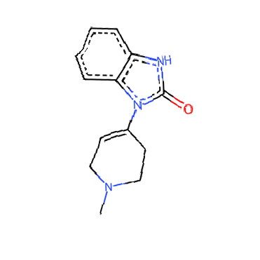 CN1CC=C(n2c(=O)[nH]c3ccccc32)CC1